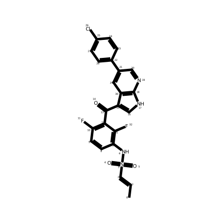 C/C=C/S(=O)(=O)Nc1ccc(F)c(C(=O)c2c[nH]c3ncc(-c4ccc(Cl)cc4)cc23)c1F